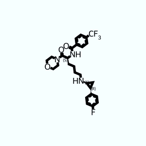 O=C(N[C@@H](CCCCN[C@H]1C[C@@H]1c1ccc(F)cc1)C(=O)N1CCOCC1)c1ccc(C(F)(F)F)cc1